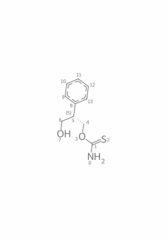 NC(=S)OC[C@H](CO)c1ccccc1